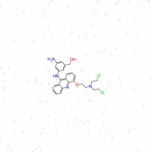 Nc1cc(CO)cc(Nc2c3ccccc3nc3c(OCCN(CCCl)CCCl)cccc23)c1